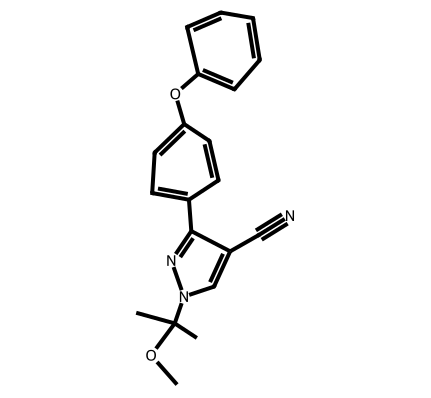 COC(C)(C)n1cc(C#N)c(-c2ccc(Oc3ccccc3)cc2)n1